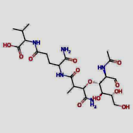 CC(=O)N[C@@H](C=O)[C@@H](OC(C(N)=O)C(C)C(=O)NC(CCC(=O)NC(C(=O)O)C(C)C)C(N)=O)[C@H](O)[C@H](O)CO